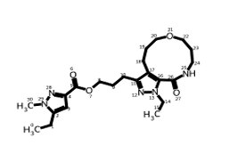 CCc1cc(C(=O)OCCCc2nn(CC)c3c2CCCOCCCNC3=O)nn1C